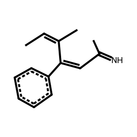 C/C=C(C)\C(=C/C(C)=N)c1ccccc1